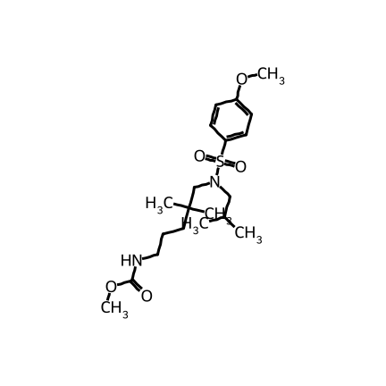 COC(=O)NCCCC(C)(C)CN(CC(C)C)S(=O)(=O)c1ccc(OC)cc1